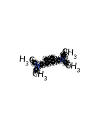 Cc1ccc(N(c2ccc(C)cc2)c2ccc(-c3ccc4c5ccc(-c6ccc(N(c7ccc(C)cc7)c7ccc(C)cc7)cc6)c6cccc(c7cccc3c74)c65)cc2)cc1